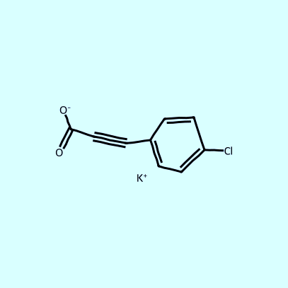 O=C([O-])C#Cc1ccc(Cl)cc1.[K+]